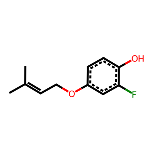 CC(C)=CCOc1ccc(O)c(F)c1